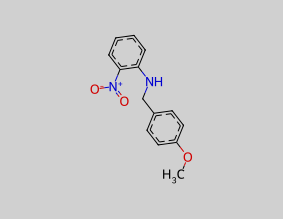 COc1ccc(CNc2ccccc2[N+](=O)[O-])cc1